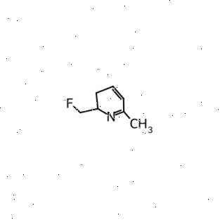 CC1=NC(CF)CC=C1